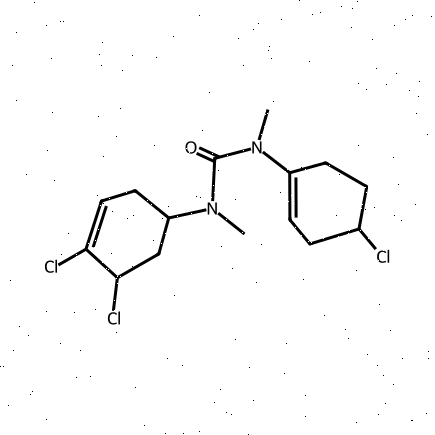 CN(C(=O)N(C)C1CC=C(Cl)C(Cl)C1)C1=CCC(Cl)CC1